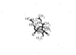 C#CCNCCC(C)(C#N)C(C)(C)CC(C)(C(=C)NCC(C)C)C(C)C(C)(C#N)CCC